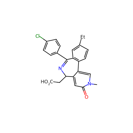 CCc1ccc2c(c1)C(c1ccc(Cl)cc1)=NC(CC(=O)O)c1cc(=O)n(C)cc1-2